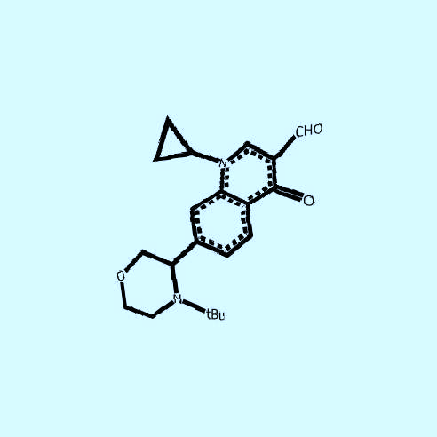 CC(C)(C)N1CCOCC1c1ccc2c(=O)c(C=O)cn(C3CC3)c2c1